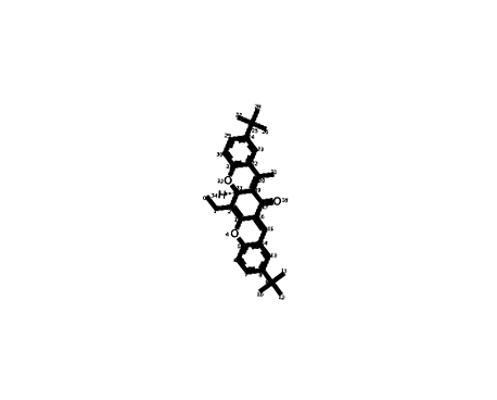 CCC1=C2Oc3ccc(C(C)(C)C)cc3C=C2C(=O)C2=C(C)c3cc(C(C)(C)C)ccc3O[C@H]12